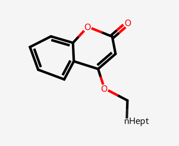 CCCCCCCCOc1cc(=O)oc2ccccc12